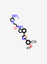 CC(C)Oc1ccc(-c2ncc(-c3cccc4c3CC[C@@H]4NC(=O)CCN3CC[C@H](N)C3)s2)cc1C#N